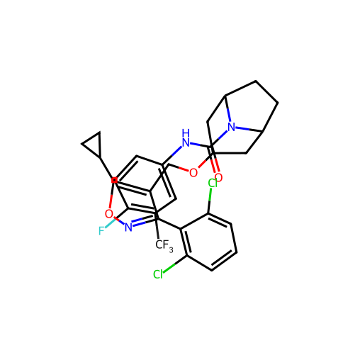 O=C(Nc1ccc(F)c(C(F)(F)F)c1)N1C2CCC1CC(OCc1c(-c3c(Cl)cccc3Cl)noc1C1CC1)C2